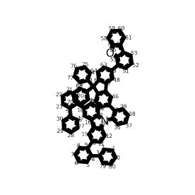 c1ccc(-c2ccccc2-c2ccc3c(c2)c2cc(-c4ccccc4-c4ccccc4)ccc2n3-c2ccccc2-c2ccc3c(c2)-c2cc(-c4cccc5c4oc4ccccc45)ccc2C3(c2ccccc2)c2ccccc2)cc1